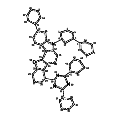 c1ccc(-c2cccc(-n3c4cc(-c5ccccc5)ccc4c4c5oc6cccc(-c7nc(-c8ccccc8)nc(-c8ccccc8)n7)c6c5ccc43)c2)cc1